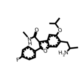 CNC(=O)c1c(-c2ccc(F)cc2)oc2cc(CC(C)N)c(OC(C)C)cc12